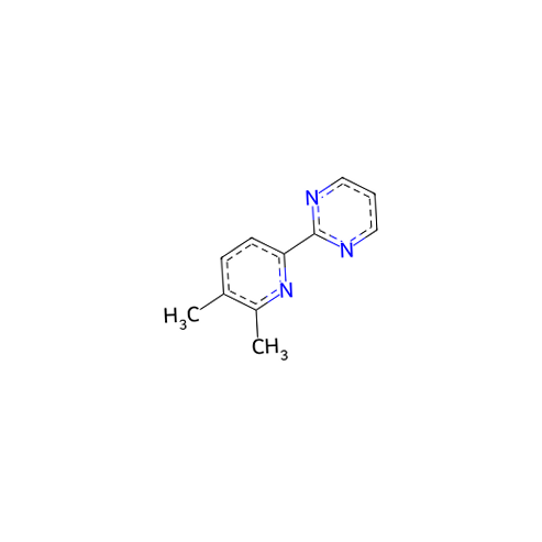 Cc1ccc(-c2ncccn2)nc1C